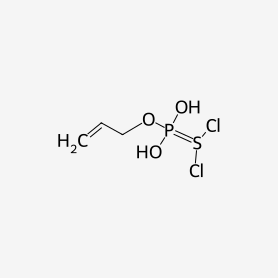 C=CCOP(O)(O)=S(Cl)Cl